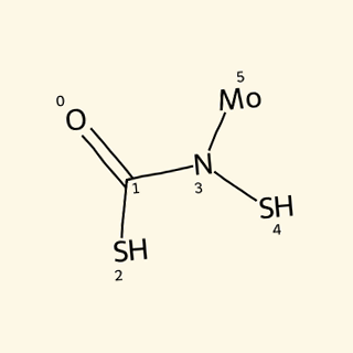 O=C(S)[N](S)[Mo]